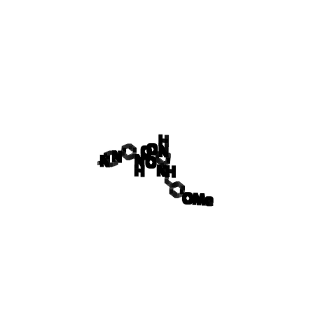 COc1ccc(CCNc2cc[nH]c(=O)c2OC(=O)Nc2cccc(N3CCN(C)CC3)c2)cc1